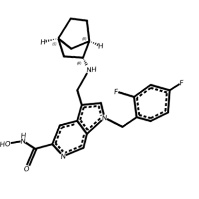 O=C(NO)c1cc2c(CN[C@@H]3C[C@H]4CC[C@@H]3C4)cn(Cc3ccc(F)cc3F)c2cn1